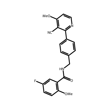 COc1ccc(F)cc1C(=O)NCc1ccc(-c2nccc(OC)c2C#N)cc1